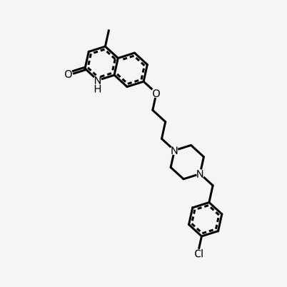 Cc1cc(=O)[nH]c2cc(OCCCN3CCN(Cc4ccc(Cl)cc4)CC3)ccc12